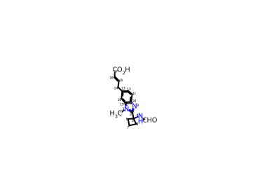 Cn1c(C2(NC=O)CCC2)nc2ccc(CC=CC(=O)O)cc21